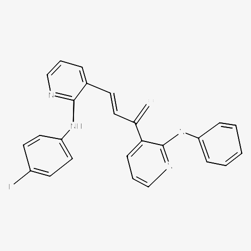 O=C(C=Cc1cccnc1Nc1ccc(F)cc1)c1cccnc1Nc1ccccc1